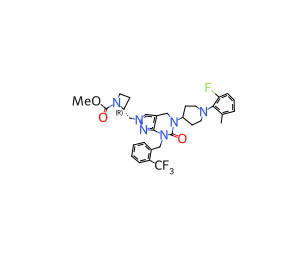 COC(=O)N1CC[C@@H]1Cn1cc2c(n1)N(Cc1ccccc1C(F)(F)F)C(=O)N(C1CCN(c3c(C)cccc3F)CC1)C2